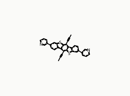 CC#Cc1c2sc3cc(-c4cccnc4)ccc3c2c(C#CC)c2sc3cc(-c4cccnc4)ccc3c12